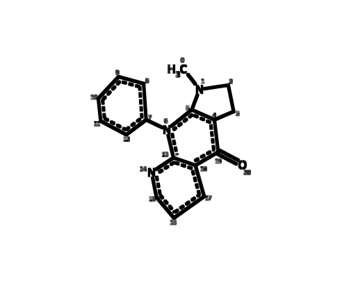 CN1CCc2c1n(-c1ccccc1)c1ncccc1c2=O